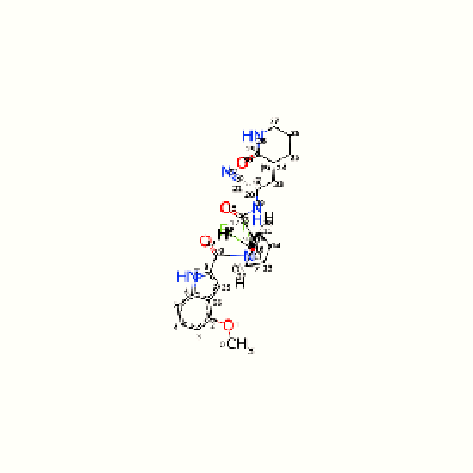 COc1cccc2[nH]c(C(=O)N3[C@@H]4CC[C@H]([C@@H]3C(=O)N[C@H](C#N)C[C@@H]3CCCNC3=O)C(F)(F)C4)cc12